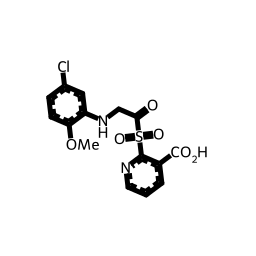 COc1ccc(Cl)cc1NCC(=O)S(=O)(=O)c1ncccc1C(=O)O